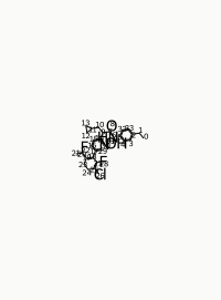 CCc1ccc(NC(=O)C(CC2CC2)c2ccc(C3=C(C(C)F)CCC(Cl)=C3F)c[n+]2O)cc1